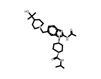 CC(=O)Nc1nc2ccc(CN3CCC(C(C)(C)O)CC3)cc2n1[C@H]1CC[C@@H](C(=O)NC(C)C)CC1